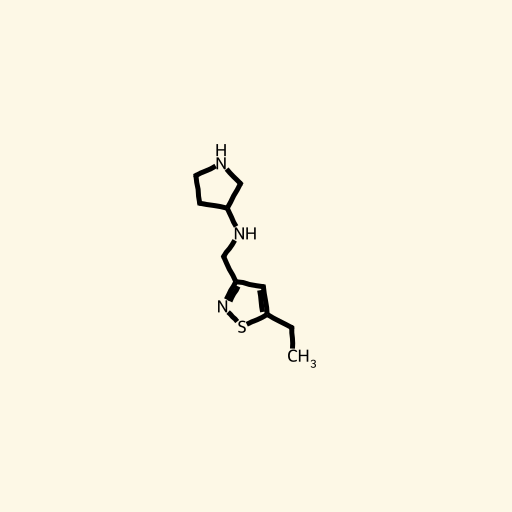 CCc1cc(CNC2CCNC2)ns1